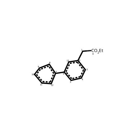 CCOC(=O)Cc1cccc(-c2ccccc2)c1